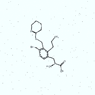 CCCc1c(C[C@H](N)C(=O)O)ccc(Br)c1COC1CCCCO1